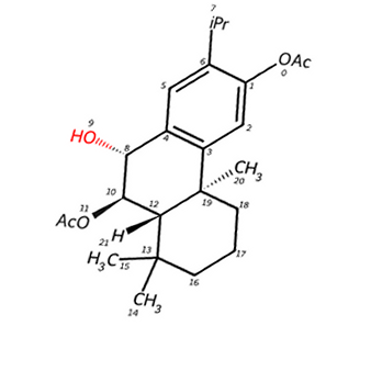 CC(=O)Oc1cc2c(cc1C(C)C)[C@@H](O)[C@H](OC(C)=O)[C@H]1C(C)(C)CCC[C@]21C